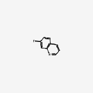 Fc1ccc2c(c1)[N+]=CC=C2